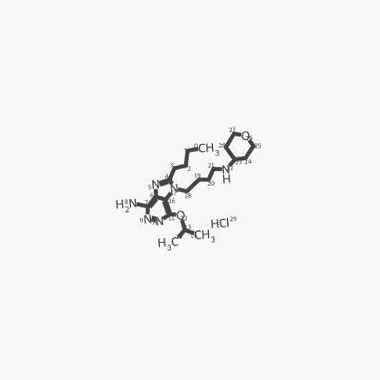 CCCCc1nc2c(N)nnc(OC(C)C)c2n1CCCCNC1CCOCC1.Cl